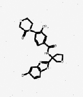 Cc1cc(C(=O)NC2(c3nc4cc(Cl)ccc4[nH]3)CCOC2)ccc1N1CCOCC1=O